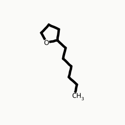 CCCCCCC1CCCO1